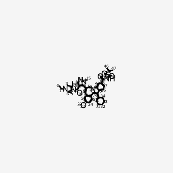 CCN1C[C@@H]2CC1CN2C(=O)c1cnn(C)c1C1=Cc2cc(OC)ccc2-c2c(C3CCCCC3)c3ccc(C(=O)NS(=O)(=O)C(C)C)cc3n2C1